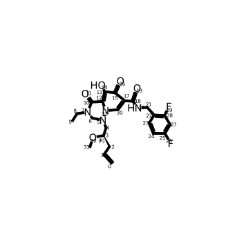 C=CC[C@H](CN1CN(CC)C(=O)c2c(O)c(=O)c(C(=O)NCc3ccc(F)cc3F)cn21)OC